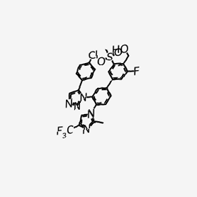 Cc1nc(C(F)(F)F)cn1-c1ccc(-c2cc(F)c(CO)c(S(C)(=O)=O)c2)cc1-n1nncc1-c1ccc(Cl)cc1